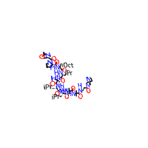 CCCCCCCC[C@H](NC(=O)[C@@H]1CCCN1C(=O)c1coc(C)n1)C(=O)N[C@@H](CC(C)C)C(=O)NC(C)(C)C(=O)N[C@@H](CC(C)C)C(=O)N[C@@H](CC(C)C)C(=O)NC(C)(C)C(=O)NC(C)(C)C(=O)NCCC(=O)N1CC2(CCN2C)C1